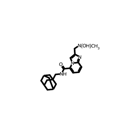 CN(O)Cc1cn2c(C(=O)NCC34CC5CC(CC(C5)C3)C4)cccc2n1